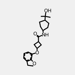 CC(C)(O)C1CCC(NC(=O)C2CC(Oc3cccc4c3OCC4)C2)CC1